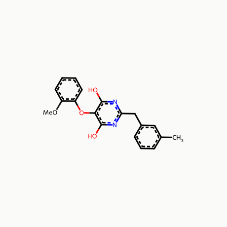 COc1ccccc1Oc1c(O)nc(Cc2cccc(C)c2)nc1O